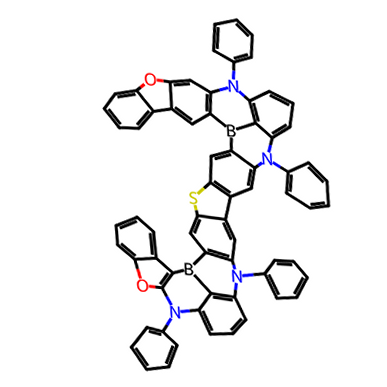 c1ccc(N2c3cc4oc5ccccc5c4cc3B3c4cc5sc6cc7c(cc6c5cc4N(c4ccccc4)c4cccc2c43)N(c2ccccc2)c2cccc3c2B7c2c(oc4ccccc24)N3c2ccccc2)cc1